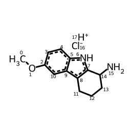 COc1ccc2[nH]c3c(c2c1)CCCC3N.[Cl-].[H+]